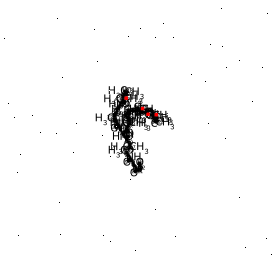 CP(CNC(=O)CCN1C(=O)C=CC1=O)OC(C)(C)CCC(=O)N[C@@H](CCC(=O)NCC(C)(C)COCCNC(=O)C(C)(C)CC(C)(C)C)C(=O)NCC(C)(C)COCC(C)(C)CNC(=O)C(C)(C)CC(C)(C)/C=C\C(C)(C)CC(C)(C)C